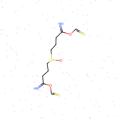 N=C(CCC[S+]([O-])CCCC(=N)OC=S)OC=S